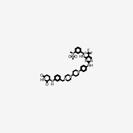 CN(c1cccc(CNc2nc(Nc3ccc(N4CCC(N5CCN(Cc6cccc(NC7CCC(=O)NC7=O)c6)CC5)CC4)cc3)ncc2C(F)(F)F)c1)S(C)(=O)=O